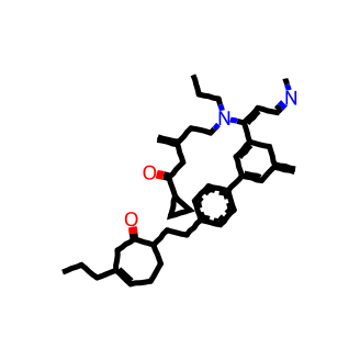 C=C1C=C(c2ccc(CCC3CCC=C(CCC)CC3=O)cc2)C=C(/C(=C\C=N/C)N(CCC)CCC(=C)CC(=O)C2CC2)C1